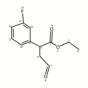 CCOC(=O)C(CC=O)c1cccc(F)c1